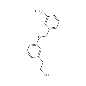 O=C(O)c1cccc(COc2cccc(CCO)c2)c1